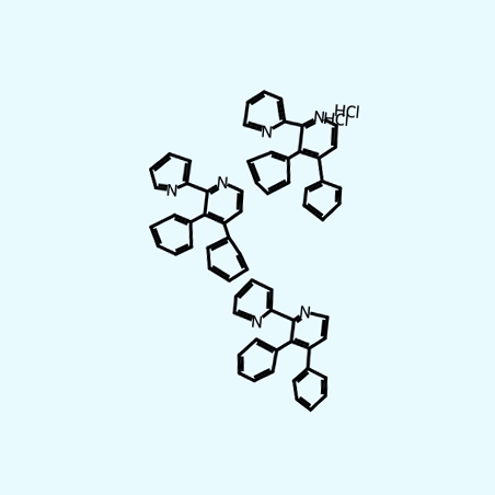 Cl.Cl.c1ccc(-c2ccnc(-c3ccccn3)c2-c2ccccc2)cc1.c1ccc(-c2ccnc(-c3ccccn3)c2-c2ccccc2)cc1.c1ccc(-c2ccnc(-c3ccccn3)c2-c2ccccc2)cc1